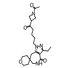 CCc1nn(CCCCC(=O)C2CN(C(C)=O)C2)c2c1C(=O)NCC1(CCOCC1)C2